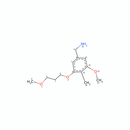 COCCCOc1cc(CN)cc(OC)c1C